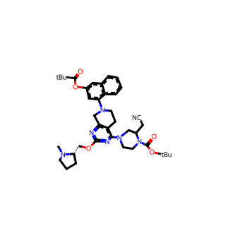 CN1CCC[C@H]1COc1nc2c(c(N3CCN(C(=O)OC(C)(C)C)C(CC#N)C3)n1)CCN(c1cc(OC(=O)C(C)(C)C)cc3ccccc13)C2